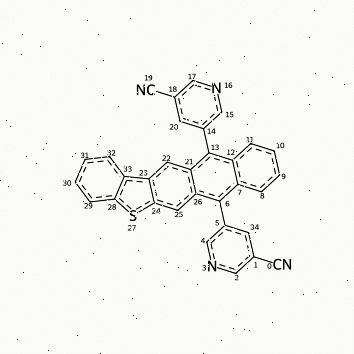 N#Cc1cncc(-c2c3ccccc3c(-c3cncc(C#N)c3)c3cc4c(cc23)sc2ccccc24)c1